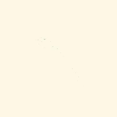 [CH2]CCCCCCCCCCCCCCCCCCCOC1CCCCC([O])COCC1